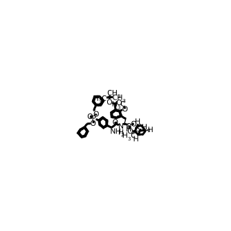 COc1c(C[C@H](NC(=O)C(N)c2ccc(P(=O)(OCc3ccccc3)OCc3ccccc3)cc2)B2O[C@@H]3C[C@@H]4C[C@@H](C4(C)C)[C@]3(C)O2)cccc1C(=O)OC(C)(C)C